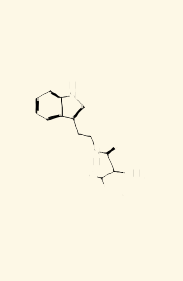 CC(C)C(C)C(=O)NCCc1c[nH]c2ccccc12